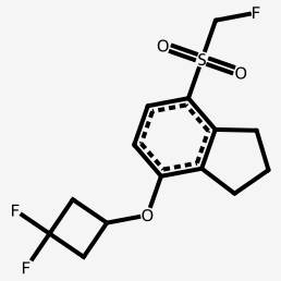 O=S(=O)(CF)c1ccc(OC2CC(F)(F)C2)c2c1CCC2